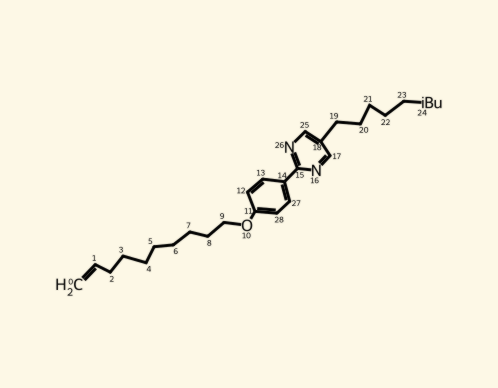 C=CCCCCCCCCOc1ccc(-c2ncc(CCCCCC(C)CC)cn2)cc1